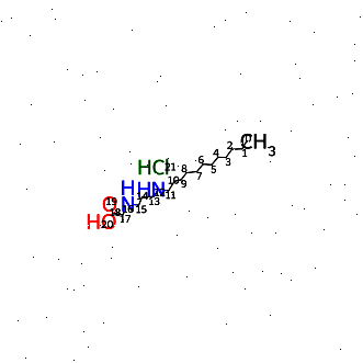 CCCCCCCCCCCCNCCCNCC(=O)O.Cl